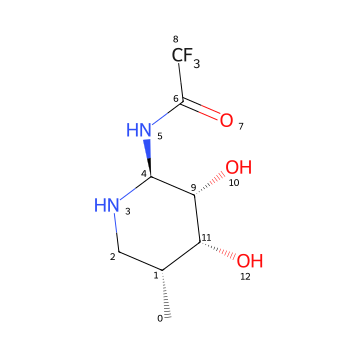 C[C@@H]1CN[C@@H](NC(=O)C(F)(F)F)[C@H](O)[C@@H]1O